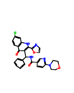 O=C(NC(c1ccccc1)c1c(-c2ncco2)[nH]c2cc(Cl)ccc2c1=O)c1ccc(N2CCOCC2)nc1